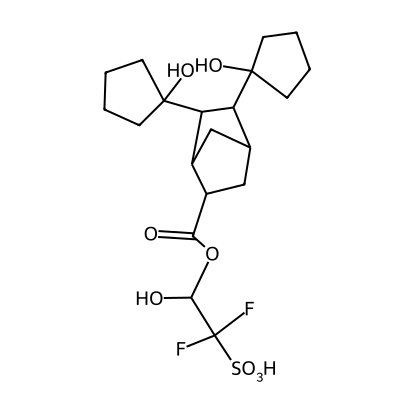 O=C(OC(O)C(F)(F)S(=O)(=O)O)C1CC2CC1C(C1(O)CCCC1)C2C1(O)CCCC1